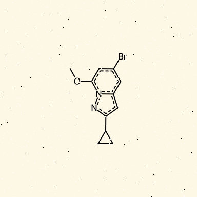 COc1cc(Br)cc2cc(C3CC3)nn12